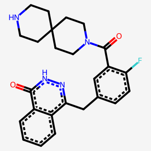 O=C(c1cc(Cc2n[nH]c(=O)c3ccccc23)ccc1F)N1CCC2(CCNCC2)CC1